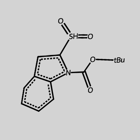 CC(C)(C)OC(=O)n1c([SH](=O)=O)cc2ccccc21